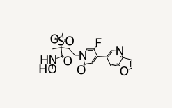 CC(CCn1cc(F)c(-c2cnc3ccoc3c2)cc1=O)(C(=O)NO)S(C)(=O)=O